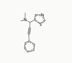 CN(C)C(C#Cc1ccccc1)c1cncs1